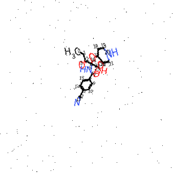 CCC(=O)C(NC(=O)c1ccc(C#N)cc1)(OC1CCNCC1)C(=O)O